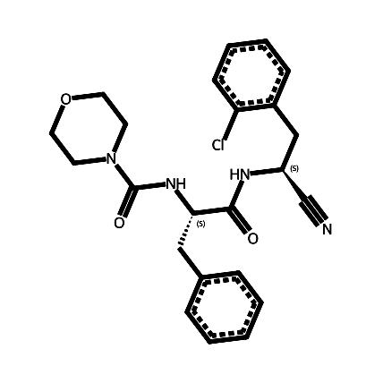 N#C[C@H](Cc1ccccc1Cl)NC(=O)[C@H](Cc1ccccc1)NC(=O)N1CCOCC1